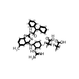 Cc1ccc2nc(NC(=O)C(c3ccccc3)c3ccccc3)nc(NC3CCCCC3NC(=N)N)c2c1.O=C(O)C(F)(F)F.O=C(O)C(F)(F)F